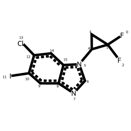 FC1(F)CC1n1cnc2cc(I)c(Cl)cc21